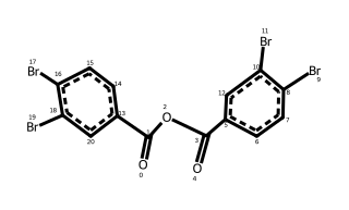 O=C(OC(=O)c1ccc(Br)c(Br)c1)c1ccc(Br)c(Br)c1